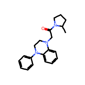 CC1CCCN1C(=O)CN1CCN(c2ccccc2)c2ccccc21